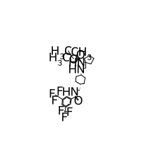 CC(C)(C)OC(=O)NC1(CN[C@H]2CC[C@@H](CNC(=O)c3cc(C(F)(F)F)cc(C(F)(F)F)c3)CC2)CCCC1